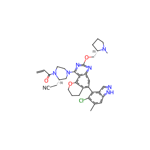 C=CC(=O)N1CCN(c2nc(OC[C@@H]3CCCN3C)nc3cc(-c4c(Cl)c(C)cc5[nH]ncc45)c4c(c23)OCCC4)C[C@@H]1CC#N